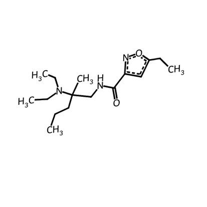 CCCC(C)(CNC(=O)c1cc(CC)on1)N(CC)CC